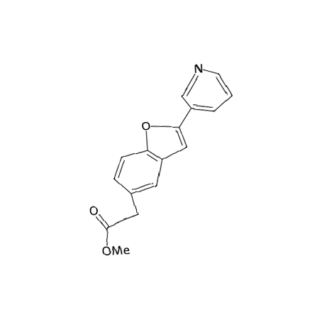 COC(=O)Cc1ccc2oc(-c3cccnc3)cc2c1